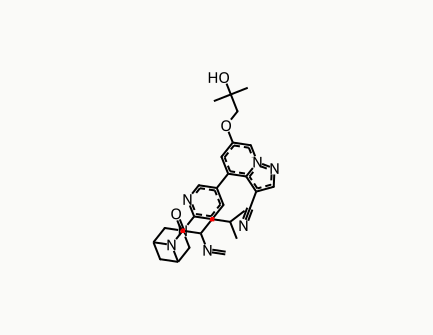 C=NC(CC(C)C)C(=O)N1C2CC1CN(c1ccc(-c3cc(OCC(C)(C)O)cn4ncc(C#N)c34)cn1)C2